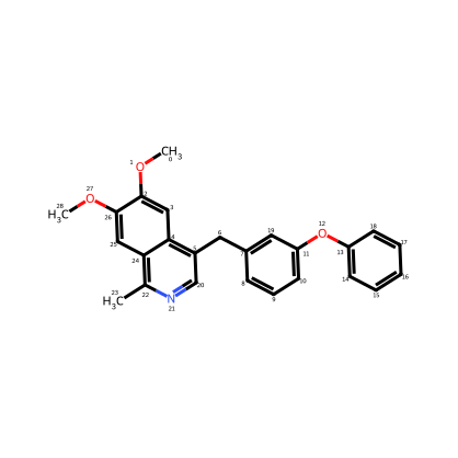 COc1cc2c(Cc3cccc(Oc4ccccc4)c3)cnc(C)c2cc1OC